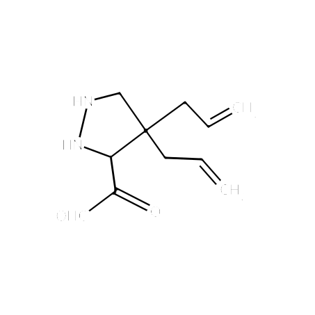 C=CCC1(CC=C)CNNC1C(=O)C=O